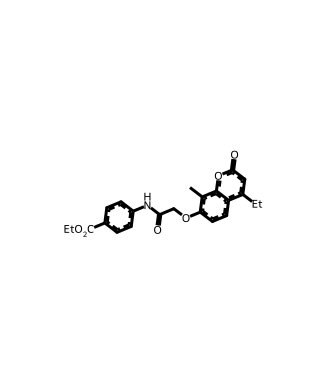 CCOC(=O)c1ccc(NC(=O)COc2ccc3c(CC)cc(=O)oc3c2C)cc1